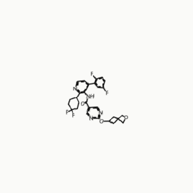 O=C(Nc1c(-c2cc(F)ccc2F)ccnc1C1CCC(F)(F)CC1)c1cnc(OC2CC3(COC3)C2)nc1